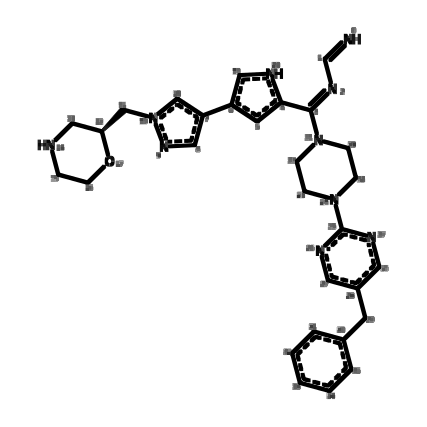 N=C/N=C(\c1cc(-c2cnn(C[C@@H]3CNCCO3)c2)c[nH]1)N1CCN(c2ncc(Cc3ccccc3)cn2)CC1